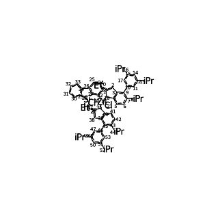 CCC1=Cc2c(ccc(C(C)C)c2-c2cc(C(C)C)cc(C(C)C)c2)[CH]1[Zr]([Cl])([Cl])([c]1cccc2c1[SiH2]c1ccccc1-2)[CH]1C(CC)=Cc2c1ccc(C(C)C)c2-c1cc(C(C)C)cc(C(C)C)c1